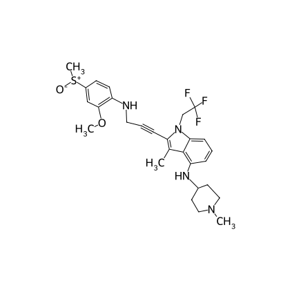 COc1cc([S+](C)[O-])ccc1NCC#Cc1c(C)c2c(NC3CCN(C)CC3)cccc2n1CC(F)(F)F